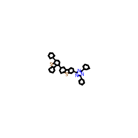 c1ccc(-c2nc(-c3ccccc3)nc(-c3ccc4c(c3)sc3ccc(-c5ccc(-c6ccccc6)c6sc7ccccc7c56)cc34)n2)cc1